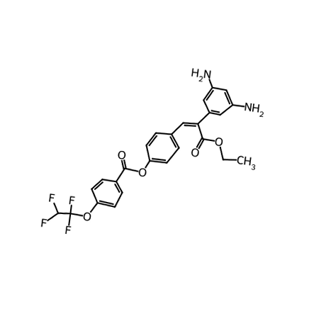 CCOC(=O)C(=Cc1ccc(OC(=O)c2ccc(OC(F)(F)C(F)F)cc2)cc1)c1cc(N)cc(N)c1